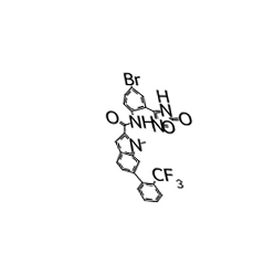 Cn1c(C(=O)Nc2ccc(Br)cc2-c2noc(=O)[nH]2)cc2ccc(-c3ccccc3C(F)(F)F)cc21